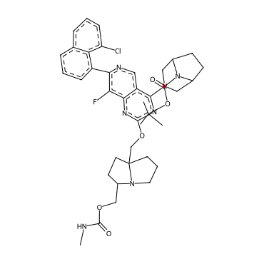 CNC(=O)OCC1CCC2(COc3nc(N4CC5CCC(C4)N5C(=O)OC(C)(C)C)c4cnc(-c5cccc6cccc(Cl)c56)c(F)c4n3)CCCN12